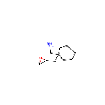 NCC1(CC2CO2)CCCCC1